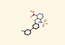 COC(=O)N1CCCC(NS(C)(=O)=O)C1Cc1cccc(-c2cccc(C)c2)c1